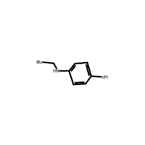 CCCc1ccc(NCC(C)CC)cc1